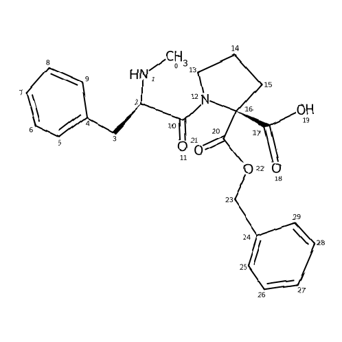 CN[C@H](Cc1ccccc1)C(=O)N1CCC[C@]1(C(=O)O)C(=O)OCc1ccccc1